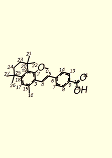 COc1c(/C=C/c2ccc(C(=O)O)cc2)c(C)cc2c1C(C)(C)CCC2(C)C